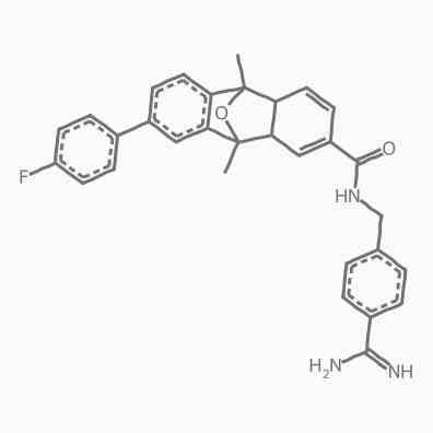 CC12OC(C)(c3cc(-c4ccc(F)cc4)ccc31)C1C=C(C(=O)NCc3ccc(C(=N)N)cc3)C=CC12